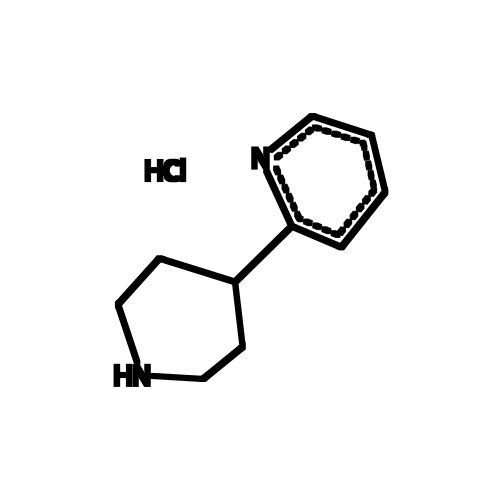 Cl.c1ccc(C2CCNCC2)nc1